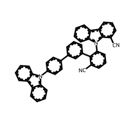 N#Cc1cccc(-n2c3ccccc3c3cccc(C#N)c32)c1-c1cccc(-c2ccc(-n3c4ccccc4c4ccccc43)cc2)c1